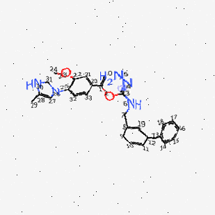 C=C(O/C(=N\N)NCC1CC=CC(c2ccccc2)C1)C1=CC(OC)C(N2C=C(C)NC2)C=C1